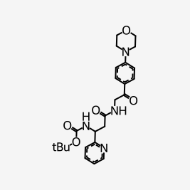 CC(C)(C)OC(=O)NC(CC(=O)NCC(=O)c1ccc(N2CCOCC2)cc1)c1ccccn1